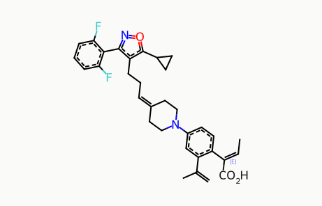 C=C(C)c1cc(N2CCC(=CCCc3c(-c4c(F)cccc4F)noc3C3CC3)CC2)ccc1/C(=C\C)C(=O)O